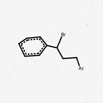 CC(=O)CCC(Br)c1ccccc1